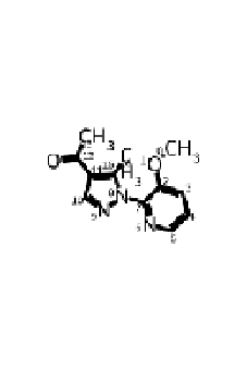 COc1cccnc1-n1ncc(C(C)=O)c1C